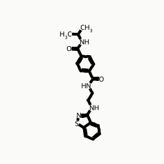 CC(C)NC(=O)c1ccc(C(=O)NCCNc2nsc3ccccc23)cc1